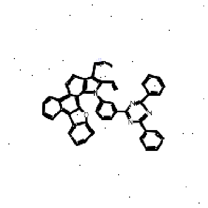 C=Cc1c(/C=C\C)c2ccc3c4ccccc4c4c5ccccc5oc4c3c2n1-c1cccc(-c2nc(-c3ccccc3)nc(-c3ccccc3)n2)c1